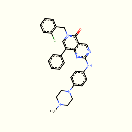 CN1CCN(c2ccc(Nc3ncc4c(=O)n(Cc5ccccc5Cl)cc(-c5ccccc5)c4n3)cc2)CC1